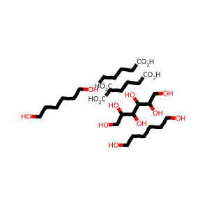 O=C(O)CCCCC(=O)O.O=C(O)CCCCC(=O)O.OCC(O)C(O)C(O)C(O)CO.OCCCCCCO.OCCCCCCO